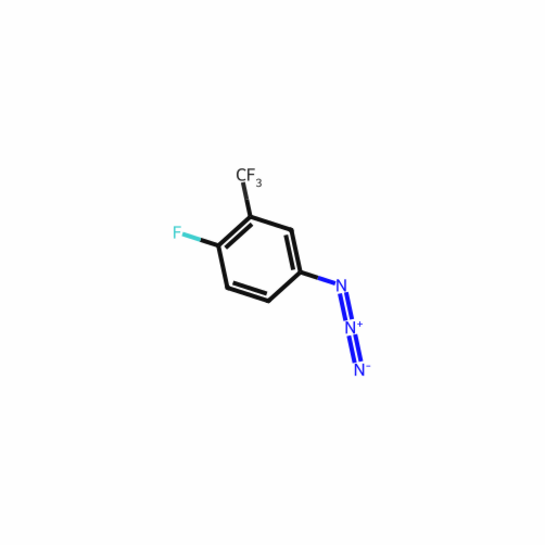 [N-]=[N+]=Nc1ccc(F)c(C(F)(F)F)c1